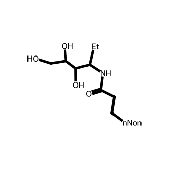 CCCCCCCCCCCC(=O)NC(CC)C(O)C(O)CO